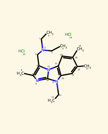 CCN(CC)Cc1c(C)nc2n(CC)c3cc(C)c(C)cc3n12.Cl.Cl